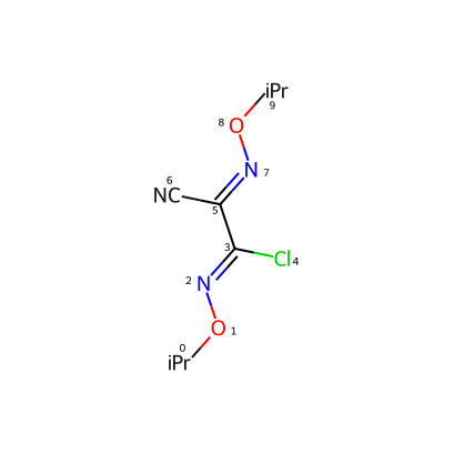 CC(C)O/N=C(Cl)/C(C#N)=N/OC(C)C